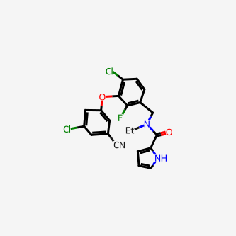 CCN(Cc1ccc(Cl)c(Oc2cc(Cl)cc(C#N)c2)c1F)C(=O)c1ccc[nH]1